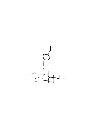 C[C@](O)(c1ccc(C(=O)N(C2CC2)C2CCN(c3ccc(C#N)cc3)CC2)cc1)C(F)(F)F